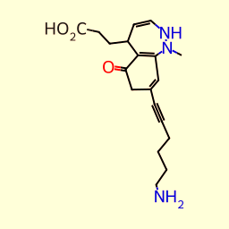 CN1NC=CC(CCC(=O)O)C2=C1C=C(C#CCCCCN)CC2=O